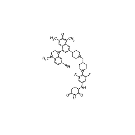 Cc1cc2c(N3CCN(C)c4ccc(C#N)cc43)cc(C3CCN(CC4CCN(c5c(F)cc(NC6CCC(=O)NC6=O)cc5F)CC4)CC3)cc2n(C)c1=O